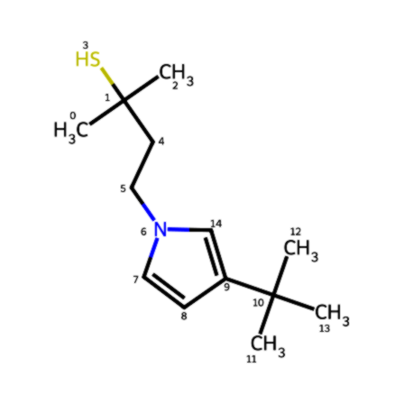 CC(C)(S)CCn1ccc(C(C)(C)C)c1